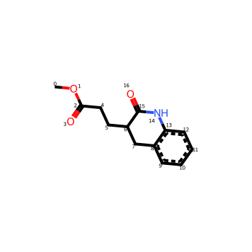 COC(=O)CCC1Cc2cc[c]cc2NC1=O